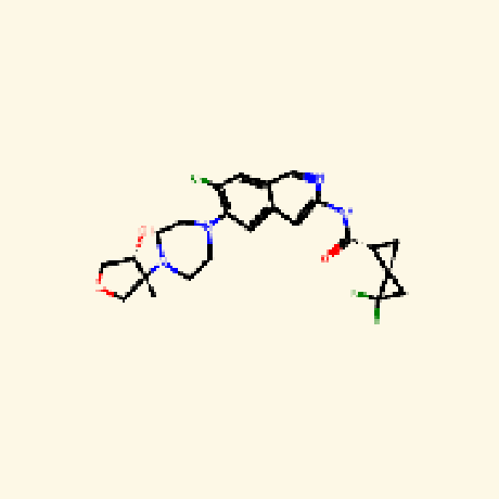 C[C@@]1(N2CCN(c3cc4cc(NC(=O)[C@@H]5C[C@]56CC6(F)F)ncc4cc3Cl)CC2)COC[C@@H]1O